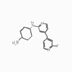 N[C@H]1CC[C@H](Nc2cc(-c3ccnc(F)c3)ccn2)CC1